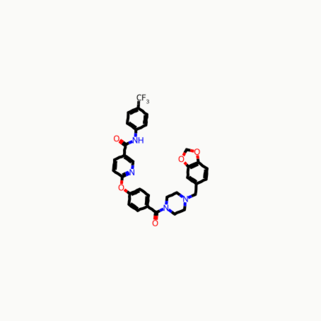 O=C(Nc1ccc(C(F)(F)F)cc1)c1ccc(Oc2ccc(C(=O)N3CCN(Cc4ccc5c(c4)OCO5)CC3)cc2)nc1